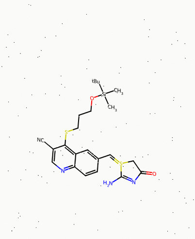 CC(C)(C)[Si](C)(C)OCCCSc1c(C#N)cnc2ccc(/C=S3/CC(=O)N=C3N)cc12